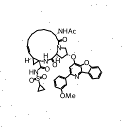 COc1cccc(-c2cc(O[C@@H]3C[C@H]4C(=O)N[C@]5(C(=O)NS(=O)(=O)C6CC6)C[C@H]5/C=C\CCCCC[C@H](NC(C)=O)C(=O)N4C3)c3oc4ccccc4c3n2)c1